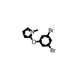 Cn1[c]ccc1Oc1cc(Br)cc(Br)c1